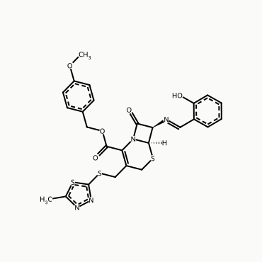 COc1ccc(COC(=O)C2=C(CSc3nnc(C)s3)CS[C@@H]3[C@H](N=Cc4ccccc4O)C(=O)N23)cc1